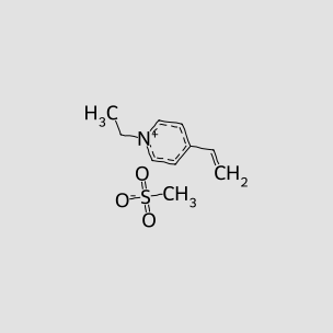 C=Cc1cc[n+](CC)cc1.CS(=O)(=O)[O-]